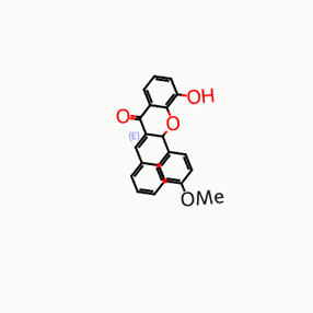 COc1ccc(C2Oc3c(O)cccc3C(=O)/C2=C/c2ccccc2)cc1